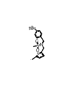 [CH2]c1ccc(CN(Cc2ccc(CCCC)cc2)S(C)(=O)=O)s1